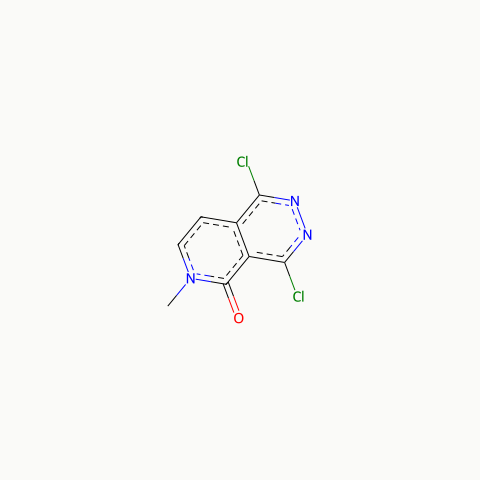 Cn1ccc2c(Cl)nnc(Cl)c2c1=O